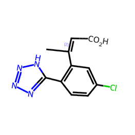 C/C(=C/C(=O)O)c1cc(Cl)ccc1-c1nnn[nH]1